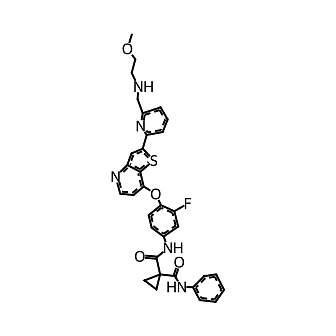 COCCNCc1cccc(-c2cc3nccc(Oc4ccc(NC(=O)C5(C(=O)Nc6ccccc6)CC5)cc4F)c3s2)n1